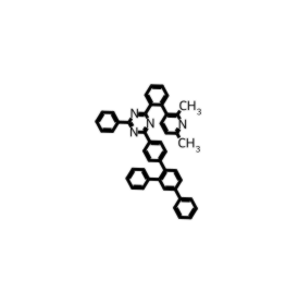 Cc1ccc(-c2ccccc2-c2nc(-c3ccccc3)nc(-c3ccc(-c4ccc(-c5ccccc5)cc4-c4ccccc4)cc3)n2)c(C)n1